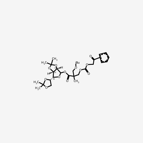 CCC(C)OCC(C)(COC(=O)OCC(=O)c1ccccc1)C(=O)OC1O[C@H](C2COC(C)(C)O2)[C@@H]2OC(C)(C)O[C@H]12